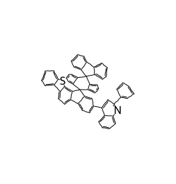 c1ccc(-c2cc(-c3ccc4c(c3)C3(c5ccccc5C5(c6ccccc6-c6ccccc65)c5ccccc53)c3c-4ccc4c3sc3ccccc34)c3ccccc3n2)cc1